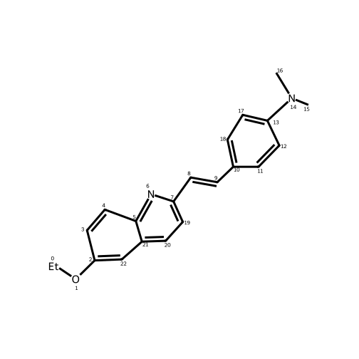 CCOc1ccc2nc(C=Cc3ccc(N(C)C)cc3)ccc2c1